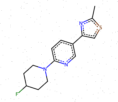 Cc1nc(-c2ccc(N3CCC(F)CC3)nc2)cs1